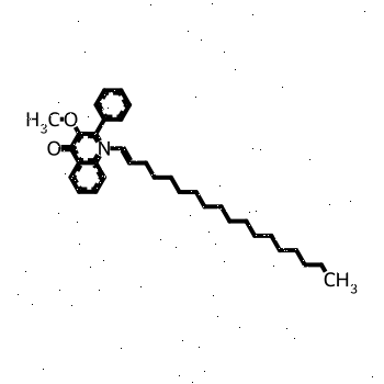 CCCCCCCCCCCCCCCCC=Cn1c(-c2ccccc2)c(OC)c(=O)c2ccccc21